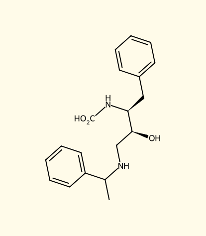 CC(NC[C@H](O)[C@H](Cc1ccccc1)NC(=O)O)c1ccccc1